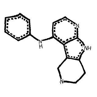 c1ccc(Nc2ccnc3[nH]c4c(c23)C[N]CC4)cc1